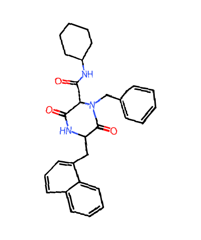 O=C(NC1CCCCC1)C1C(=O)NC(Cc2cccc3ccccc23)C(=O)N1Cc1ccccc1